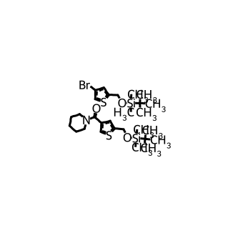 CC(C)(C)[Si](C)(C)OCc1cc(Br)cs1.CC(C)(C)[Si](C)(C)OCc1cc(C(=O)N2CCCCC2)cs1